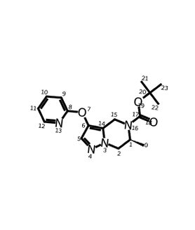 C[C@H]1Cn2ncc(Oc3ccccn3)c2CN1C(=O)OC(C)(C)C